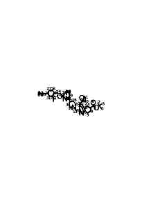 CC(C)(C)OC(=O)c1ccc2nc(CN3CCC(c4cncc(OCc5ccc(C#N)cc5F)n4)CC3)n(C[C@@H]3CCO3)c2c1